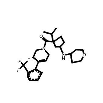 CC(C)C1(C(=O)N2CC=C(c3ccccc3C(F)(F)F)CC2)CCC(NC2CCOCC2)C1